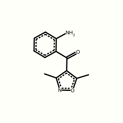 Cc1noc(C)c1C(=O)c1ccccc1N